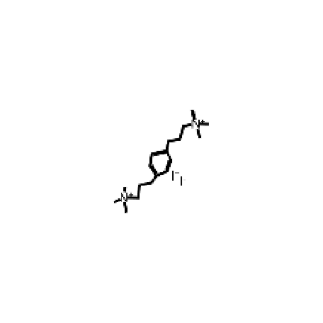 C[N+](C)(C)CCCc1ccc(CCC[N+](C)(C)C)cc1.[I-].[I-]